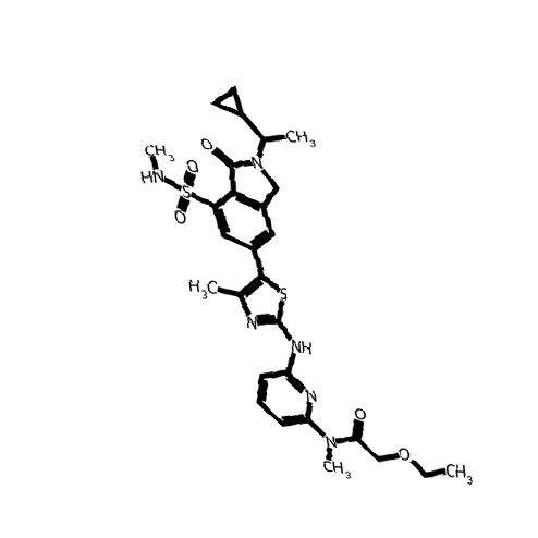 CCOCC(=O)N(C)c1cccc(Nc2nc(C)c(-c3cc4c(c(S(=O)(=O)NC)c3)C(=O)N(C(C)C3CC3)C4)s2)n1